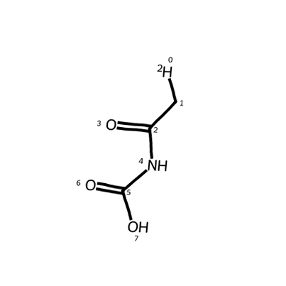 [2H]CC(=O)NC(=O)O